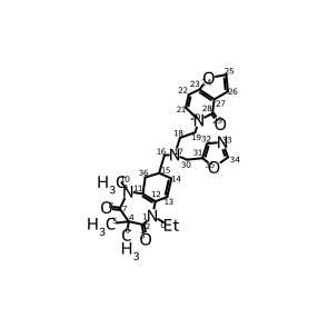 CCN1C(=O)C(C)(C)C(=O)N(C)C2=C1C=CC(CN(CCn1ccc3occc3c1=O)Cc1cnco1)C2